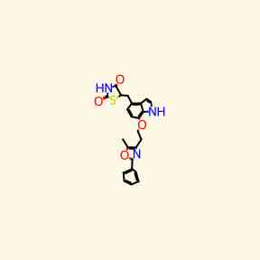 Cc1oc(-c2ccccc2)nc1CCOc1ccc(CC2SC(=O)NC2=O)c2cc[nH]c12